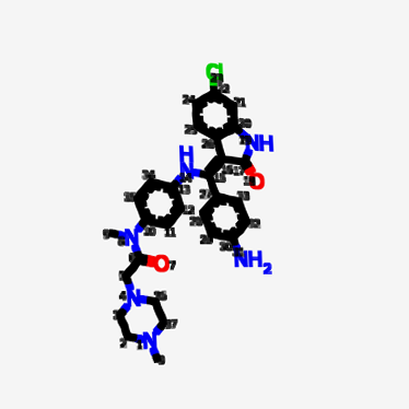 CN1CCN(CC(=O)N(C)c2ccc(NC(=C3C(=O)Nc4cc(Cl)ccc43)c3ccc(N)cc3)cc2)CC1